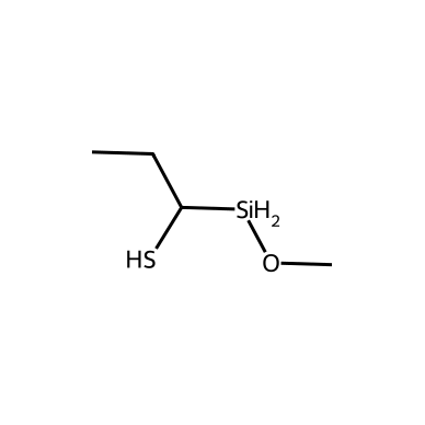 CCC(S)[SiH2]OC